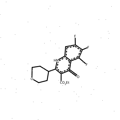 CCOC(=O)c1c(C2CCOCC2)[nH]c2cc(F)c(F)c(F)c2c1=O